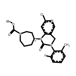 Cc1cccc(F)c1N1Cc2cnc(Cl)cc2N([C@H]2CCCN(C(=O)OC(C)(C)C)CC2)C1=O